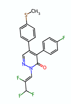 CSc1ccc(-c2cnn(C=C(F)C(F)F)c(=O)c2-c2ccc(F)cc2)cc1